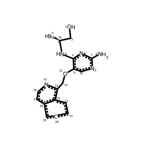 CCCC[C@@H](CO)Nc1nc(N)ncc1OCc1nccc2ccccc12